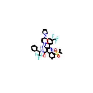 CC(C)S(=O)(=O)c1cccc2c(C(=O)N[C@H](c3ccccc3)C(F)(F)F)c(CN3CCC(N4CCCC4)CC3)c(-c3cccc(C(F)(F)F)c3)nc12